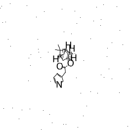 C[C@@H]1[C@@H](OC(=O)Cc2cccnc2)C[C@H]2C[C@@H]1C2(C)C